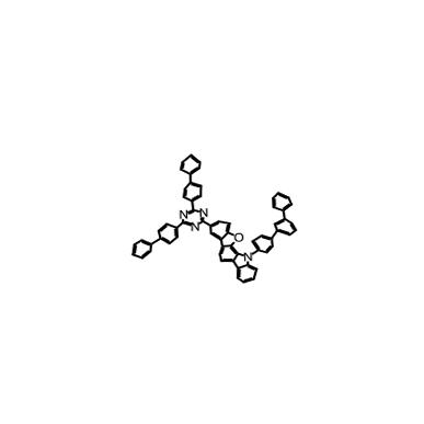 c1ccc(-c2ccc(-c3nc(-c4ccc(-c5ccccc5)cc4)nc(-c4ccc5oc6c(ccc7c8ccccc8n(-c8ccc(-c9cccc(-c%10ccccc%10)c9)cc8)c76)c5c4)n3)cc2)cc1